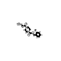 CC(C)(C)OC(=O)N1CCN(C(=O)OCc2ccccc2F)CC1